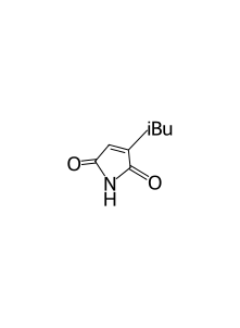 CCC(C)C1=CC(=O)NC1=O